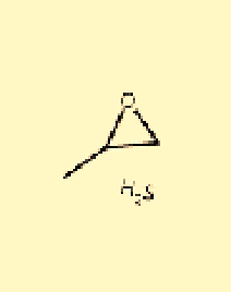 CC1CO1.S